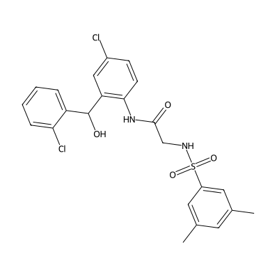 Cc1cc(C)cc(S(=O)(=O)NCC(=O)Nc2ccc(Cl)cc2C(O)c2ccccc2Cl)c1